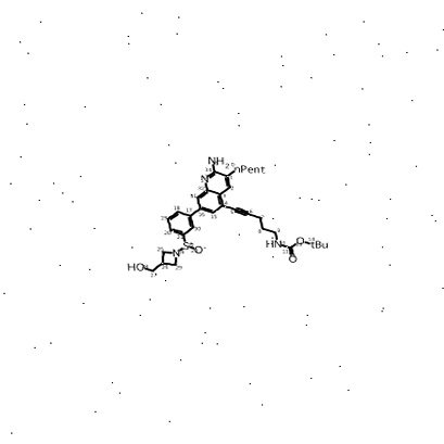 CCCCCc1cc2c(C#CCCCNC(=O)OC(C)(C)C)cc(-c3cccc([S+]([O-])N4CC(CO)C4)c3)cc2nc1N